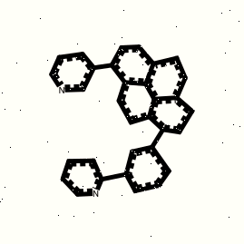 c1ccc(-c2cccc(-c3ccc4ccc5ccc(-c6cccnc6)c6ccc3c4c56)c2)nc1